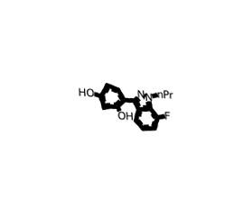 CCCn1nc(-c2ccc(O)cc2O)c2cccc(F)c21